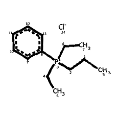 CCC[P+](CC)(CC)c1ccccc1.[Cl-]